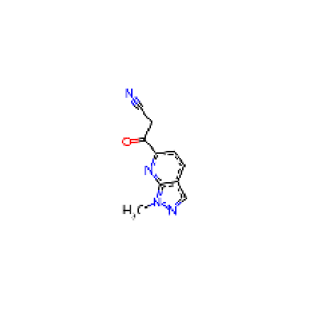 Cn1ncc2ccc(C(=O)CC#N)nc21